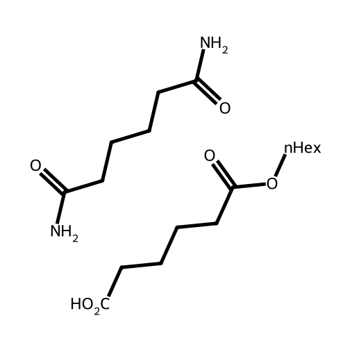 CCCCCCOC(=O)CCCCC(=O)O.NC(=O)CCCCC(N)=O